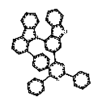 c1ccc(-c2nc(-c3ccccc3)nc(-c3cc(-n4c5ccccc5c5cccc(-c6ccccc6)c54)c4c(c3)oc3ccccc34)n2)cc1